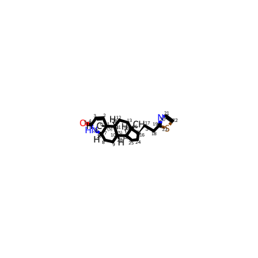 C[C@]12C=CC(=O)N[C@@H]1CC[C@@H]1[C@@H]2CC[C@]2(C)[C@@H](CCc3nccs3)CC[C@@H]12